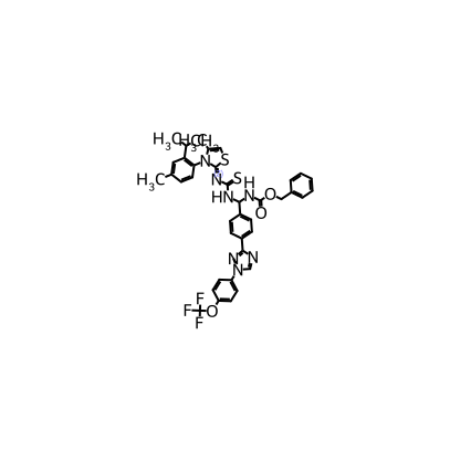 Cc1ccc(-n2c(C)cs/c2=N\C(=S)NC(NC(=O)OCc2ccccc2)c2ccc(-c3ncn(-c4ccc(OC(F)(F)F)cc4)n3)cc2)c(C(C)C)c1